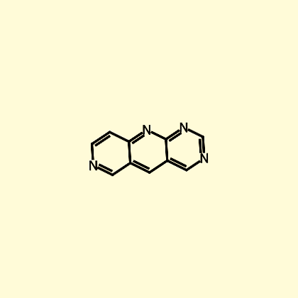 c1cc2nc3ncncc3cc2cn1